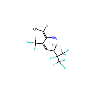 C/C(Br)=C(N)\C(=C/C(C)C(F)(C(F)(F)F)C(F)(F)F)C(F)(F)F